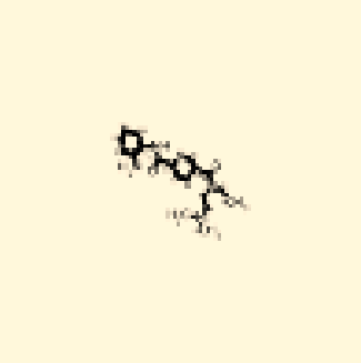 CCN(CCN(C)C)C(=O)c1ccc(C(=O)Nc2ccccc2N)nc1